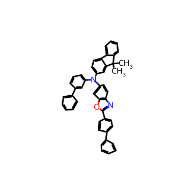 CC1(C)c2ccccc2-c2ccc(N(c3cccc(-c4ccccc4)c3)c3ccc4nc(-c5ccc(-c6ccccc6)cc5)oc4c3)cc21